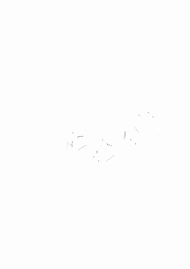 Cn1cc(-c2nccc(-c3cc4c([nH]3)C3(CC3)CNC4=O)n2)cn1